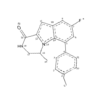 Cc1ccc(-c2cc(F)cc3cc4n(c23)C(C)CNC4=O)cc1